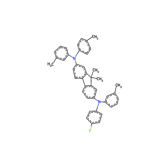 Cc1ccc(N(c2cccc(C)c2)c2ccc3c(c2)C(C)(C)c2cc(N(c4ccc(F)cc4)c4cccc(C)c4)ccc2-3)cc1